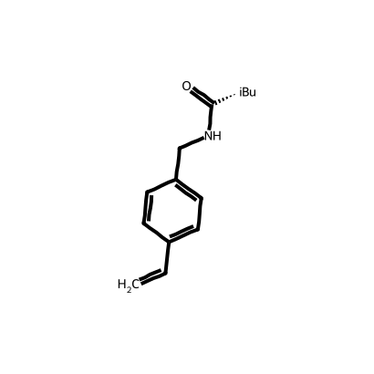 C=Cc1ccc(CNC(=O)[C@@H](C)CC)cc1